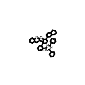 c1ccc(C2=NC(c3ccccc3)NC(c3ccccc3-c3ccc(-c4ccc5ccccc5c4)c4oc5nc6ccccc6cc5c34)=N2)cc1